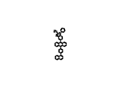 CC(C)c1nc2cc(-c3c4ccccc4c(-c4ccc(-c5cccc6ccccc56)cc4)c4ccccc34)ccc2n1-c1ccccc1